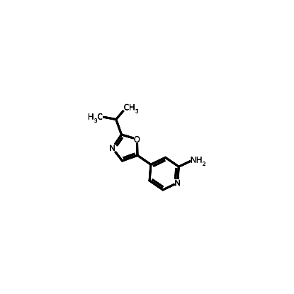 CC(C)c1ncc(-c2ccnc(N)c2)o1